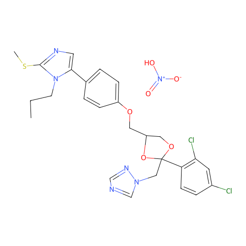 CCCn1c(-c2ccc(OCC3COC(Cn4cncn4)(c4ccc(Cl)cc4Cl)O3)cc2)cnc1SC.O=[N+]([O-])O